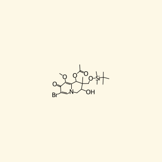 COc1c2n(cc(Br)c1=O)CC(O)C(C)(CO[Si](C)(C)C(C)(C)C)C2OC(C)=O